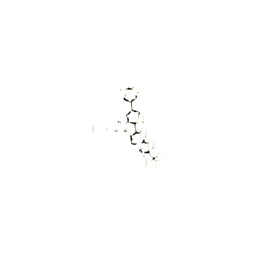 CCS(=O)(=O)c1cc(-c2cncnc2)cnc1-c1ccn2nc(C(F)(F)F)nc2n1